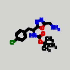 CC(C)(C)OC(=O)NC(Cc1ccc(Cl)cc1)c1nnc(CN)o1